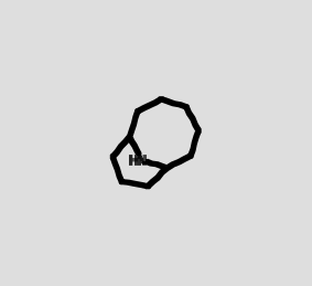 C1CCC2CCCC(CC1)N2